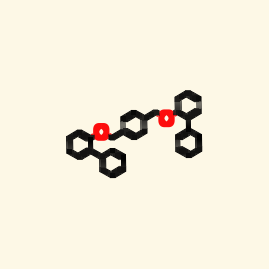 c1ccc(-c2ccccc2OCc2ccc(COc3ccccc3-c3ccccc3)cc2)cc1